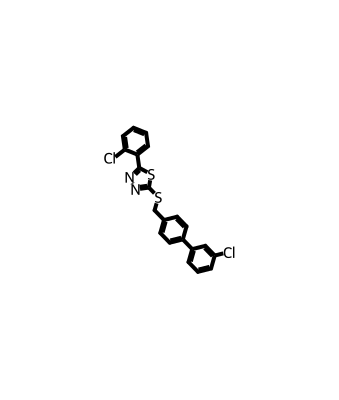 Clc1cccc(-c2ccc(CSc3nnc(-c4ccccc4Cl)s3)cc2)c1